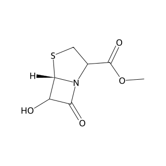 COC(=O)C1CS[C@H]2C(O)C(=O)N12